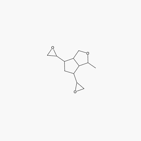 CC1OCC2C(C3CO3)CC(C3CO3)C12